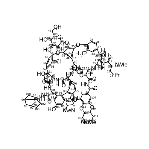 CNCCOc1cc(C(=O)NC(=O)C[C@@H]2NC(=O)[C@H](NC(=O)[C@@H](CC(C)C)NC)[C@H](O)c3ccc(c(C)c3)Oc3cc4cc(c3O[C@@H]3O[C@H](CO)[C@@H](O)[C@H](O)[C@H]3O)Oc3ccc(cc3Cl)[C@@H](O)[C@@H]3NC(=O)[C@H](NC(=O)[C@@H]4NC2=O)c2ccc(O)c(c2)-c2c(O)cc(O)cc2[C@@H](C(=O)NC2C4CC5CC(C4)CC2C5)NC3=O)cc(OCCNC)c1OCCNC